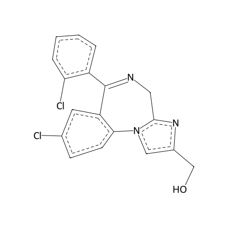 OCc1cn2c(n1)CN=C(c1ccccc1Cl)c1cc(Cl)ccc1-2